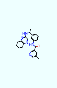 Cc1cncc(C(=O)Nc2cccc([C@H](C)Nc3cnc4c(n3)CCCC4)c2)c1